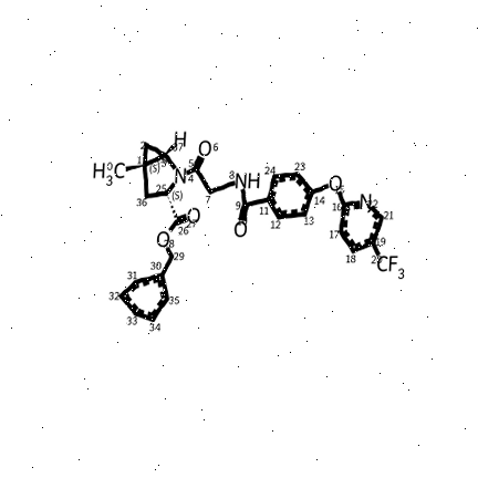 C[C@@]12C[C@@H]1N(C(=O)CNC(=O)c1ccc(Oc3ccc(C(F)(F)F)cn3)cc1)[C@H](C(=O)OCc1ccccc1)C2